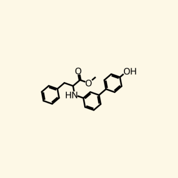 COC(=O)C(Cc1ccccc1)Nc1cccc(-c2ccc(O)cc2)c1